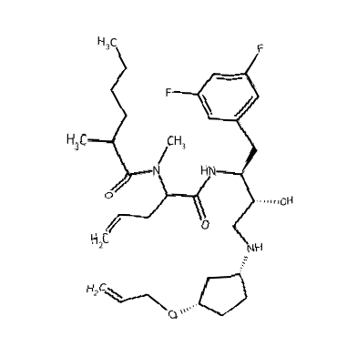 C=CCO[C@H]1CC[C@@H](NC[C@@H](O)[C@H](Cc2cc(F)cc(F)c2)NC(=O)C(CC=C)N(C)C(=O)C(C)CCCC)C1